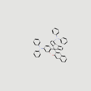 c1ccc(N(c2ccccc2)c2ccc3c(c2)Oc2cc4ccccc4cc2C32c3ccccc3-c3c(N(c4ccccc4)c4ccccc4)cccc32)cc1